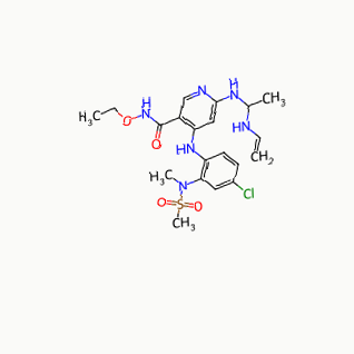 C=CNC(C)Nc1cc(Nc2ccc(Cl)cc2N(C)S(C)(=O)=O)c(C(=O)NOCC)cn1